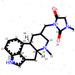 CN1CC(=O)N(CC2C[C@@H]3c4cccc5[nH]cc(c45)C[C@H]3N(C)C2)C1=O